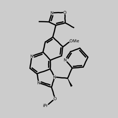 COc1cc2c(cc1-c1c(C)noc1C)ncc1nc(OC(C)C)n([C@H](C)c3ccccn3)c12